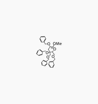 CO[C@H]1OC(COCc2ccccc2)C(COCc2ccccc2)(OCc2ccccc2)CC1OCc1ccccc1